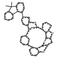 CC1(C)c2ccccc2-c2c(-c3ccc4c(c3)nc3nc4c4cccc(c4)c4cccc5oc6cc7oc8cccc3c8c7cc6c54)cccc21